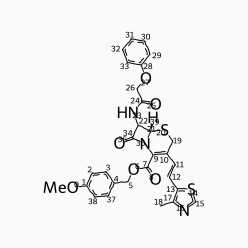 COc1ccc(COC(=O)C2=C(C=Cc3scnc3C)CS[C@H]3C(NC(=O)COc4ccccc4)C(=O)N23)cc1